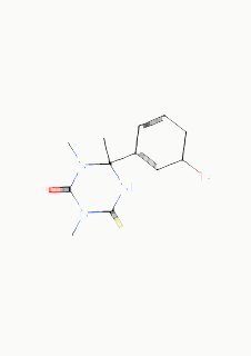 CN1C(=O)N(C)C(C)(C2=CC(Br)CC=C2)NC1=S